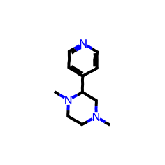 CN1CCN(C)C(c2ccncc2)C1